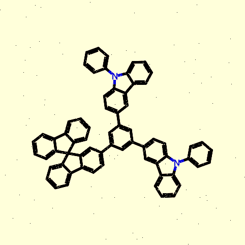 c1ccc(-n2c3ccccc3c3cc(-c4cc(-c5ccc6c(c5)C5(c7ccccc7-c7ccccc75)c5ccccc5-6)cc(-c5ccc6c(c5)c5ccccc5n6-c5ccccc5)c4)ccc32)cc1